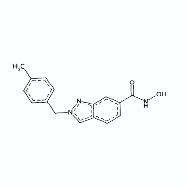 Cc1ccc(Cn2cc3ccc(C(=O)NO)cc3n2)cc1